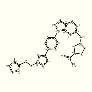 NC(=O)[C@@H]1CC[C@@H](Nc2ncc3nnn(-c4ccc(-c5cnn(CCc6nnn[nH]6)c5)cc4)c3n2)C1